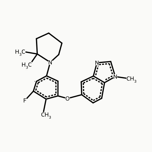 Cc1c(F)[c]c(N2CCCCC2(C)C)cc1Oc1ccc2c(c1)ncn2C